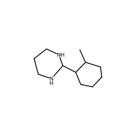 CC1CCCCC1C1NCCCN1